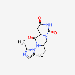 CCC1CN2C(=O)NC(=O)CC2C(=O)N1n1ccnc1C